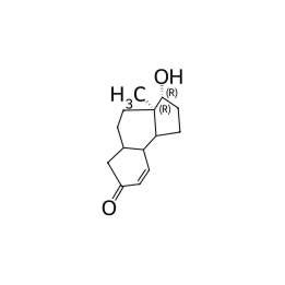 C[C@@]12CCC3CC(=O)C=CC3C1CC[C@H]2O